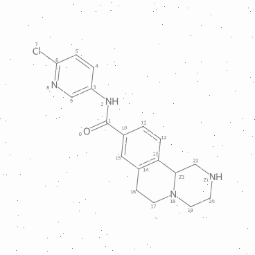 O=C(Nc1ccc(Cl)nc1)c1ccc2c(c1)CCN1CCNCC21